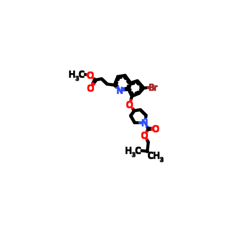 COC(=O)CCc1ccc2cc(Br)cc(OC3CCN(C(=O)OCC(C)C)CC3)c2n1